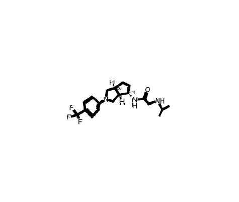 CC(C)NCC(=O)N[C@H]1CC[C@@H]2CN(c3ccc(C(F)(F)F)cc3)C[C@@H]21